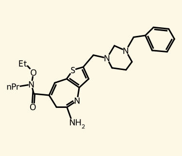 CCCN(OCC)C(=O)C1=Cc2sc(CN3CCCN(Cc4ccccc4)C3)cc2N=C(N)C1